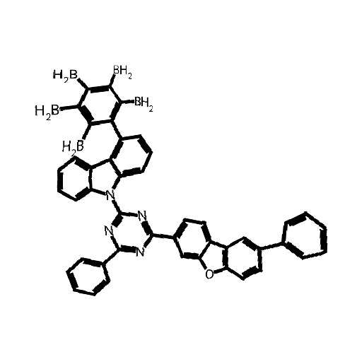 Bc1c(B)c(B)c(-c2cccc3c2c2ccccc2n3-c2nc(-c3ccccc3)nc(-c3ccc4c(c3)oc3ccc(-c5ccccc5)cc34)n2)c(B)c1B